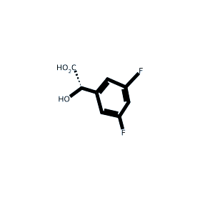 O=C(O)[C@@H](O)c1cc(F)cc(F)c1